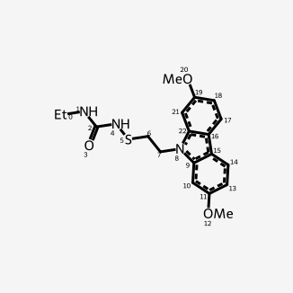 CCNC(=O)NSCCn1c2cc(OC)ccc2c2ccc(OC)cc21